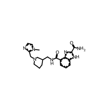 Cn1ccnc1CN1CCCC(CNC(=O)c2cccc3[nH]c(C(N)=O)nc23)C1